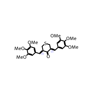 COc1cc(/C=C2\CSC/C(=C\c3cc(OC)c(OC)c(OC)c3)C2=O)cc(OC)c1OC